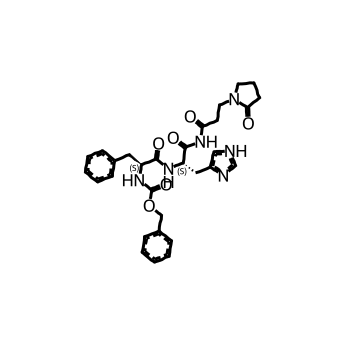 O=C(CCN1CCCC1=O)NC(=O)[C@H](Cc1c[nH]cn1)NC(=O)[C@H](Cc1ccccc1)NC(=O)OCc1ccccc1